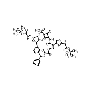 CC(C)(C)OC(=O)NC[C@@H]1CN(C[C@@H]2[C@H](NC(=O)C(=NOC3(C(=O)OC(c4ccccc4)c4ccccc4)CC3)c3csc(NC(=O)OC(C)(C)C)n3)C(=O)N2S(=O)(=O)O)C(=O)O1